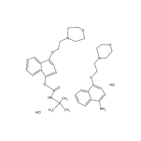 CC(C)(C)NC(=O)Oc1ccc(OCCN2CCOCC2)c2ccccc12.Cl.Cl.Nc1ccc(OCCN2CCOCC2)c2ccccc12